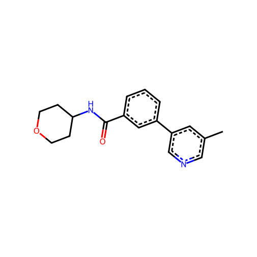 Cc1cncc(-c2cccc(C(=O)NC3CCOCC3)c2)c1